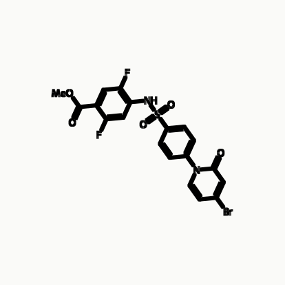 COC(=O)c1cc(F)c(NS(=O)(=O)c2ccc(-n3ccc(Br)cc3=O)cc2)cc1F